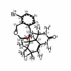 [2H]C1=C2N([2H])C(=O)N([2H])C([2H])(N3CCOCc4c(Br)cccc43)C2([2H])C([2H])(F)C([2H])([2H])C1([2H])[2H]